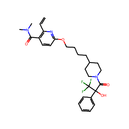 C=Cc1nc(OCCCCC2CCN(C(=O)C(O)(c3ccccc3)C(F)(F)F)CC2)ccc1C(=O)N(C)C